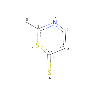 Cc1nccc(=S)s1